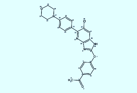 CC(=O)c1ccc(Oc2nc3nc(-c4ccc(N5CCOCC5)cc4)c(Cl)cc3[nH]2)cc1